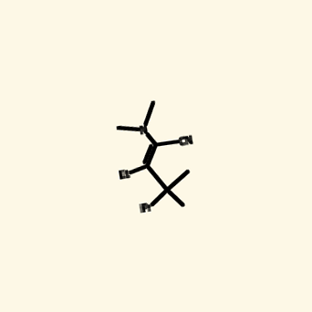 CC/C(=C(/C#N)N(C)C)C(C)(C)C(C)C